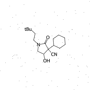 CC(C)(C)CCN1CC(O)C(C#N)(C2CCCCC2)C1=O